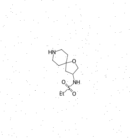 CCS(=O)(=O)NC1COC2(CCNCC2)C1